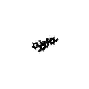 Cc1cc(C)c(N2CCCC2)c(C)c1NS(=O)(=O)c1ccc(F)cc1